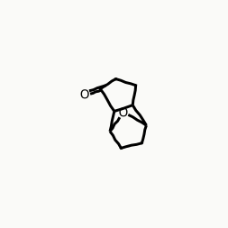 O=C1CCC2C3CCC(O3)C12